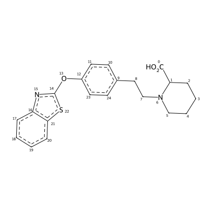 O=C(O)C1CCCCN1CCc1ccc(Oc2nc3ccccc3s2)cc1